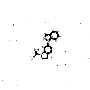 N=C(N)N1CCc2ccc(-n3ncc4ccccc43)cc21